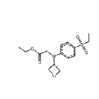 CCOC(=O)CN(c1ccc(S(=O)(=O)CC)cc1)C1COC1